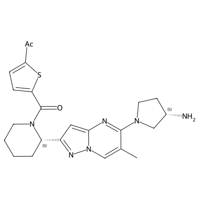 CC(=O)c1ccc(C(=O)N2CCCC[C@H]2c2cc3nc(N4CC[C@H](N)C4)c(C)cn3n2)s1